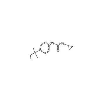 CCC(C)(C)c1ccc(NC(=O)NC2CC2)cc1